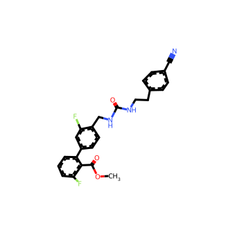 COC(=O)c1c(F)cccc1-c1ccc(CNC(=O)NCCc2ccc(C#N)cc2)c(F)c1